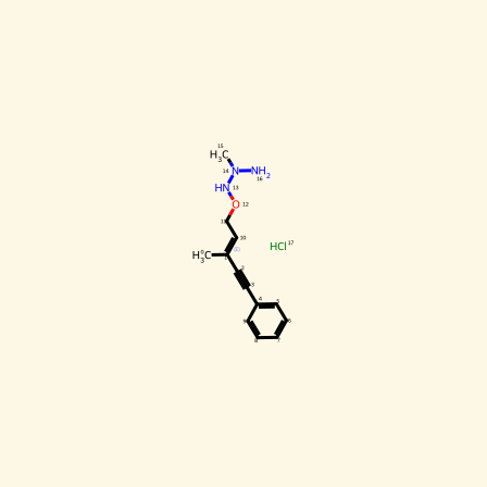 C/C(C#Cc1ccccc1)=C\CONN(C)N.Cl